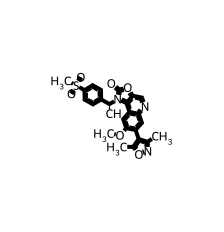 COc1cc2c(cc1-c1c(C)noc1C)ncc1oc(=O)n([C@H](C)c3ccc(S(C)(=O)=O)cc3)c12